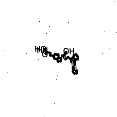 O=C(C=Cc1ccc2c(c1)CCC2N(CCO)CCc1cn(CCN2CCCC2)c2ccccc12)NO